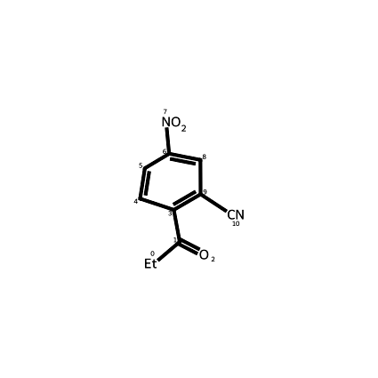 CCC(=O)c1ccc([N+](=O)[O-])cc1C#N